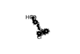 O=C(O)Cc1ccc(SCCCSc2ccc(Cl)cc2-n2nc3ccccc3n2)cc1